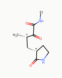 CCNC(=O)C(=O)[C@@H](C)C[C@@H]1CCNC1=O